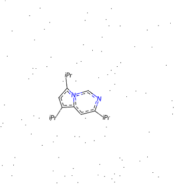 CC(C)c1cc2c(C(C)C)cc(C(C)C)n2cn1